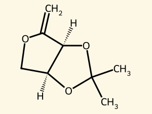 C=C1OC[C@@H]2OC(C)(C)O[C@H]12